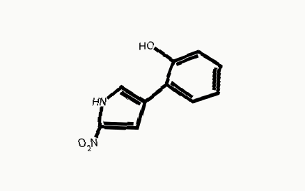 O=[N+]([O-])c1cc(-c2ccccc2O)c[nH]1